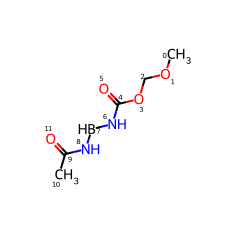 COCOC(=O)NBNC(C)=O